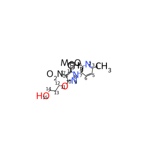 COc1nc(C)ccc1-n1nc(OCCCO)c([N+](=O)[O-])c1C